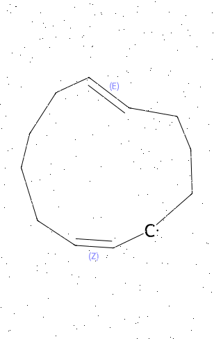 [CH]1/C=C\CCCC/C=C/CCC1